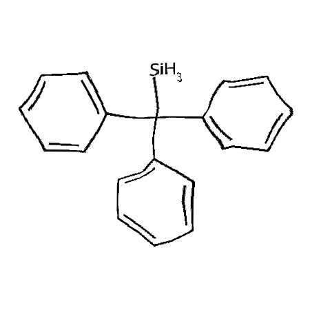 [SiH3]C(c1ccccc1)(c1ccccc1)c1ccccc1